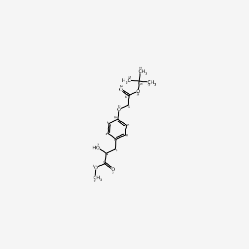 COC(=O)C(O)Cc1ccc(OCC(=O)OC(C)(C)C)cc1